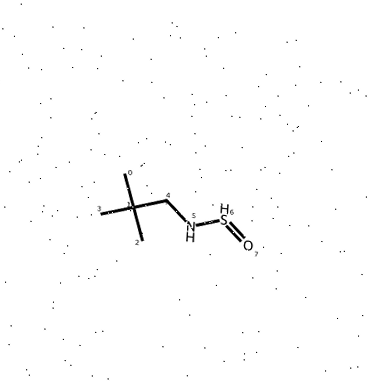 CC(C)(C)[CH]N[SH]=O